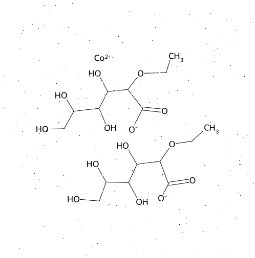 CCOC(C(=O)[O-])C(O)C(O)C(O)CO.CCOC(C(=O)[O-])C(O)C(O)C(O)CO.[Co+2]